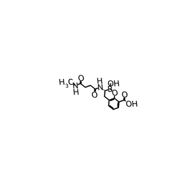 CNC(=O)CCC(=O)N[C@H]1Cc2cccc(C(=O)O)c2OB1O